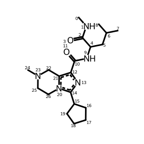 CNC(=O)C(CC(C)C)NC(=O)c1nc(C2CCCC2)n2c1CN(C)CC2